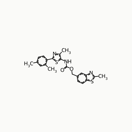 Cc1ccc(-c2nc(C)c(NC(=O)OCc3ccc4sc(C)nc4c3)s2)c(C)c1